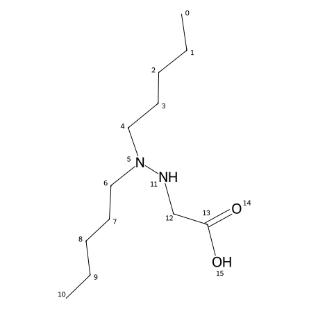 CCCCCN(CCCCC)NCC(=O)O